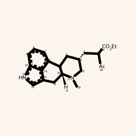 CCOC(=O)C(C[C@H]1CC2c3cccc4[nH]cc(c34)C[C@H]2N(C)C1)C(C)=O